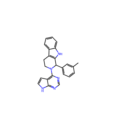 Cc1cccc(C2c3[nH]c4ccccc4c3CCN2c2ncnc3[nH]ccc23)c1